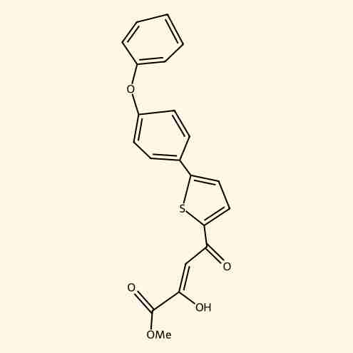 COC(=O)/C(O)=C/C(=O)c1ccc(-c2ccc(Oc3ccccc3)cc2)s1